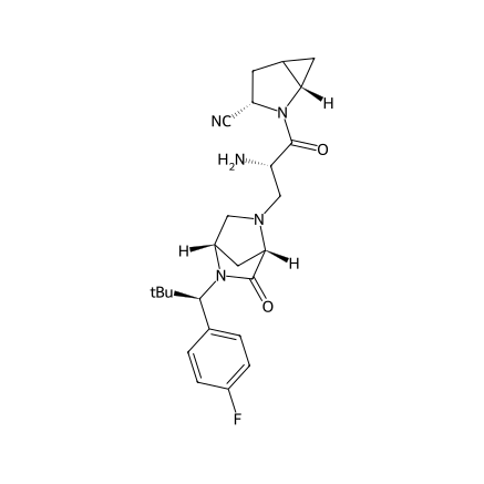 CC(C)(C)[C@H](c1ccc(F)cc1)N1C(=O)[C@@H]2C[C@H]1CN2C[C@H](N)C(=O)N1[C@H](C#N)CC2C[C@@H]21